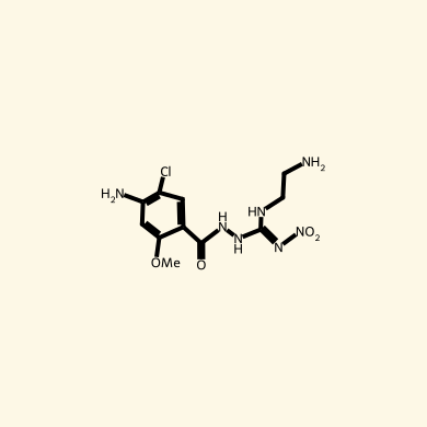 COc1cc(N)c(Cl)cc1C(=O)NNC(=N[N+](=O)[O-])NCCN